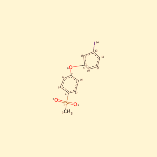 CS(=O)(=O)c1ccc(Oc2c[c]cc(I)c2)cc1